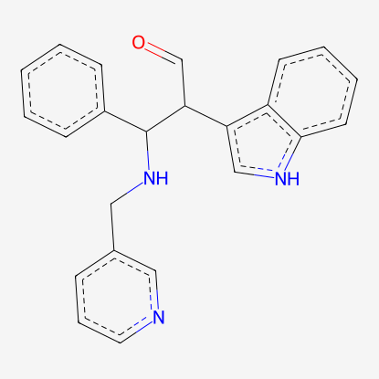 O=CC(c1c[nH]c2ccccc12)C(NCc1cccnc1)c1ccccc1